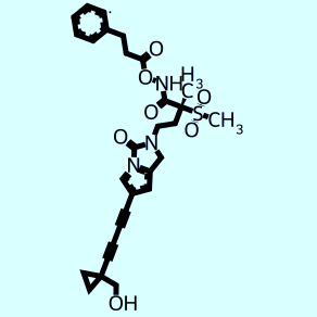 C[C@@](CCN1Cc2cc(C#CC#CC3(CO)CC3)cn2C1=O)(C(=O)NOC(=O)CCc1[c]cccc1)S(C)(=O)=O